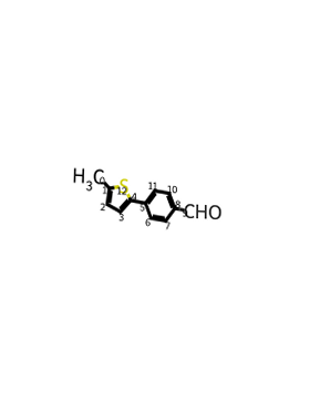 Cc1ccc(-c2ccc(C=O)cc2)s1